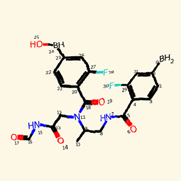 Bc1ccc(C(=O)NCC(C)N(CC(=O)NC=O)C(=O)c2ccc(BO)cc2F)c(F)c1